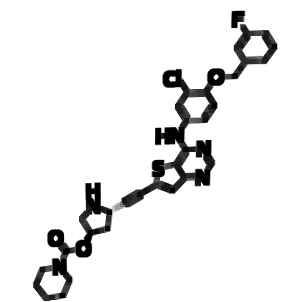 O=C(O[C@H]1CN[C@H](C#Cc2cc3ncnc(Nc4ccc(OCc5cccc(F)c5)c(Cl)c4)c3s2)C1)N1CCCCC1